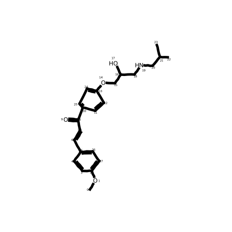 COc1ccc(C=CC(=O)c2ccc(OCC(O)CNCC(C)C)cc2)cc1